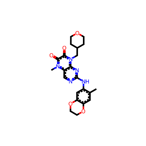 Cc1cc2c(cc1Nc1ncc3c(n1)n(CC1CCOCC1)c(=O)c(=O)n3C)OCCO2